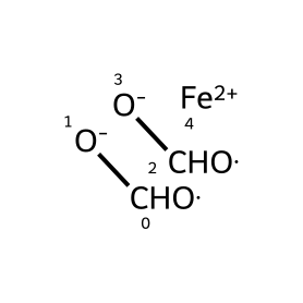 O=[C][O-].O=[C][O-].[Fe+2]